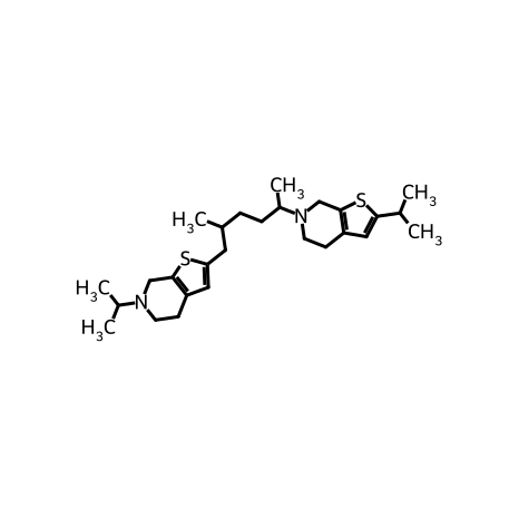 CC(CCC(C)N1CCc2cc(C(C)C)sc2C1)Cc1cc2c(s1)CN(C(C)C)CC2